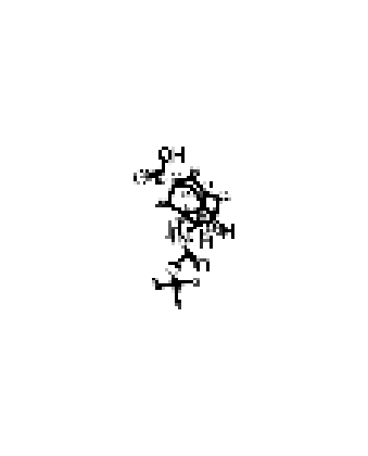 CC(C)(C)OC(=O)N[C@H]1[C@@H]2CC3C[C@H]1C[C@](C(=O)O)(C3)C2